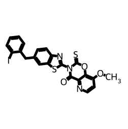 COc1ccnc2c(=O)n(-c3nc4ccc(Cc5ccccc5I)cc4s3)c(=S)oc12